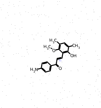 COc1c(C)cc(C)c(O)c1/C=C/C(=O)c1ccc(N)cc1